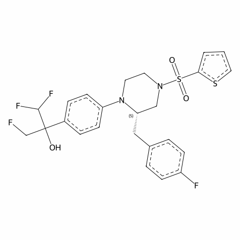 O=S(=O)(c1cccs1)N1CCN(c2ccc(C(O)(CF)C(F)F)cc2)[C@@H](Cc2ccc(F)cc2)C1